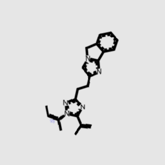 C=C(C)c1nc(CCc2cn3c(n2)-c2ccccc2C3)nn1/C(C)=C\C